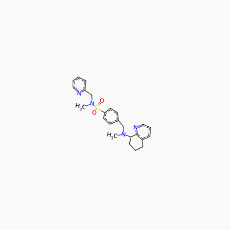 CN(Cc1ccc(S(=O)(=O)N(C)Cc2ccccn2)cc1)C1CCCc2cccnc21